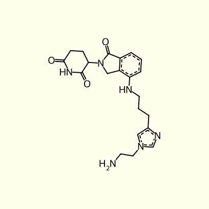 NCCn1cnc(CCCNc2cccc3c2CN(C2CCC(=O)NC2=O)C3=O)c1